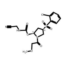 COCC(=O)N1C[C@H](S(=O)(=O)c2ccccc2Cl)C[C@@H]1OC(=O)NCC#N